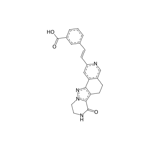 O=C(O)c1cccc(/C=C/c2cc3c(cn2)CCc2c-3nn3c2C(=O)NCC3)c1